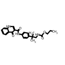 CCCOC(=O)NCC(C)(C)c1ccc(NC(=O)c2c[nH]c3ccccc3c2=O)cc1